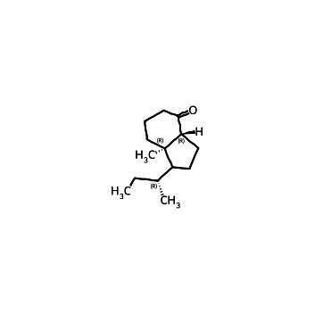 CC[C@@H](C)C1CC[C@H]2C(=O)CCC[C@]12C